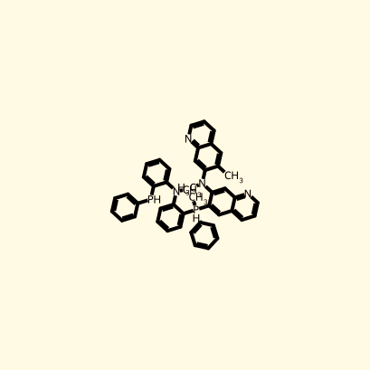 Cc1cc2cccnc2cc1N(C)c1cc2ncccc2cc1[PH](C)(c1ccccc1)c1ccccc1N(C)c1ccccc1Pc1ccccc1